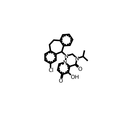 CC(C)N1CN(C2c3ccccc3CCc3ccc(Cl)cc32)n2ccc(=O)c(O)c2C1=O